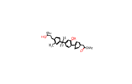 CCC(CC)(c1ccc(CCC(O)C(C)(C)C)c(C)c1)c1ccc(-c2ccc(CC(=O)OC)cc2)c(O)c1